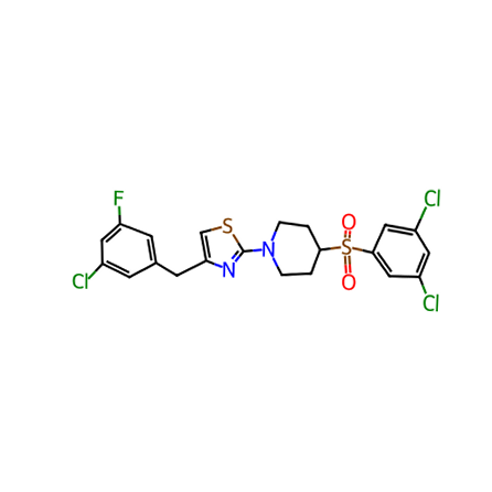 O=S(=O)(c1cc(Cl)cc(Cl)c1)C1CCN(c2nc(Cc3cc(F)cc(Cl)c3)cs2)CC1